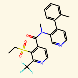 CCS(=O)(=O)c1c(C(=O)N(C)c2cnccc2-c2ccccc2C)ccnc1C(F)(F)F